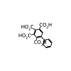 O=C(O)c1cc(-c2ccccc2)c(C(=O)O)c(C(=O)O)c1C(=O)O